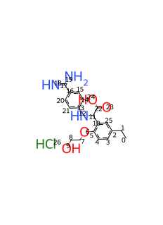 CCc1ccc(OCCO)c(C(Nc2ccc(C(=N)N)cc2)C(=O)O)c1.Cl